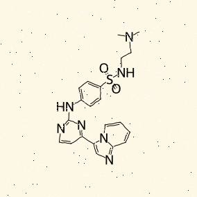 CN(C)CCNS(=O)(=O)c1ccc(Nc2nccc(-c3cnc4ccccn34)n2)cc1